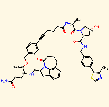 Cc1ncsc1-c1ccc(CNC(=O)[C@@H]2C[C@@H](O)CN2C(=O)[C@@H](NC(=O)CCCC#Cc2ccc(CO[C@H](C)[C@H](CCC(N)=O)NC[C@@H]3Cc4cccc5c4N3C(=O)CCC5)cc2)C(C)(C)C)cc1